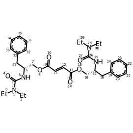 CCN(CC)C(=O)N[C@@H](COC(=O)/C=C/C(=O)OC[C@@H](Cc1ccccc1)NC(=O)N(CC)CC)Cc1ccccc1